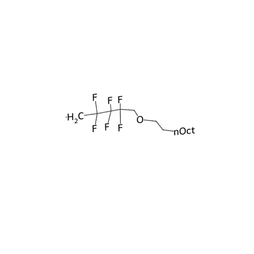 [CH2]C(F)(F)C(F)(F)C(F)(F)COCCCCCCCCCC